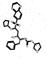 O=C(N[C@@H](Cc1ccccc1)[C@@H](O)CC(OC1CCCC1)S(=O)(=O)c1ccc2nccnc2c1)O[C@H]1CCOC1